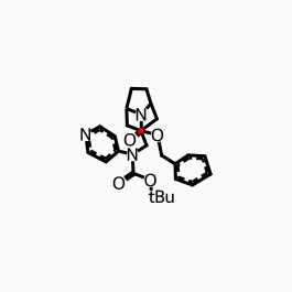 CC(C)(C)OC(=O)N(CC1CC2CCC(C1)N2C(=O)OCc1ccccc1)c1ccncc1